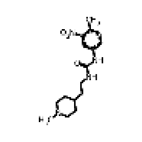 Cc1ncc(NC(=O)NCCC2CCN(C)CC2)cc1[N+](=O)[O-]